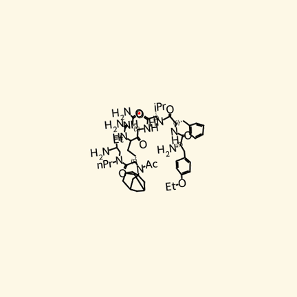 CCCN(CC(N)CC)C(=O)[C@H](CCC(NC(=N)N)C(=O)[C@H](CC(N)=O)NC(=O)[C@@H](NC(=O)[C@H](Cc1ccccc1)NC(=O)[C@@H](N)Cc1ccc(OCC)cc1)C(C)C)N(C(C)=O)C12CC3CC(CC(C3)C1)C2